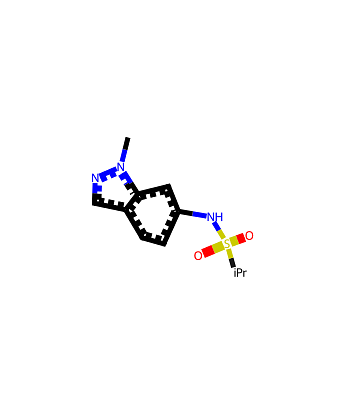 CC(C)S(=O)(=O)Nc1ccc2cnn(C)c2c1